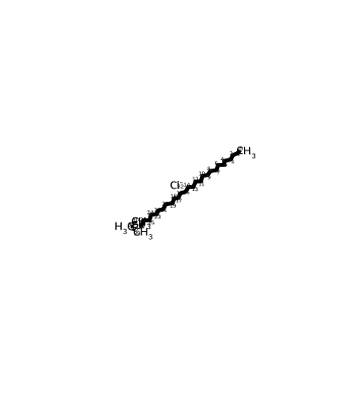 CCCCCCCCCCCCCCCCCCCCCCCCCCCC[P+](C)(C)C.[Cl-]